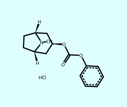 CN1[C@@H]2CC[C@H]1C[C@H](OC(=O)Oc1ccccc1)C2.Cl